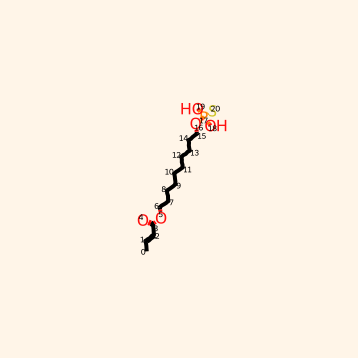 CC=CC(=O)OCCCCCCCCCCOP(O)(O)=S